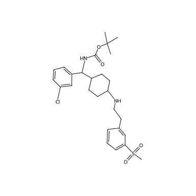 CC(C)(C)OC(=O)NC(c1cccc(Cl)c1)C1CCC(NCCc2cccc(S(C)(=O)=O)c2)CC1